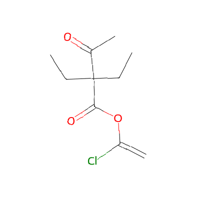 C=C(Cl)OC(=O)C(CC)(CC)C(C)=O